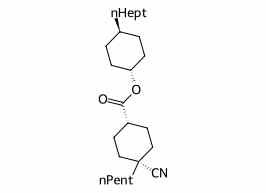 CCCCCCC[C@H]1CC[C@H](OC(=O)[C@H]2CC[C@](C#N)(CCCCC)CC2)CC1